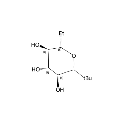 CC[C@@H]1OC(C(C)(C)C)[C@@H](O)[C@H](O)[C@H]1O